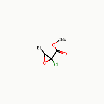 CCC1OC1(Cl)C(=O)OC(C)(C)C